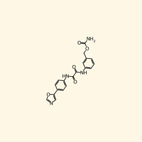 NC(=O)OCc1cccc(NC(=O)C(=O)Nc2ccc(-c3cnco3)cc2)c1